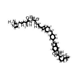 CC[C@H](C)[C@H](NC(=O)[C@@H](N)CCCn1ccnc1N)C(=O)NCCC1CC2(CCN(CC3CCC(n4cc5cc(NC(=O)c6cccc(C(C)(F)F)n6)c(OC)cc5n4)CC3)CC2)C1